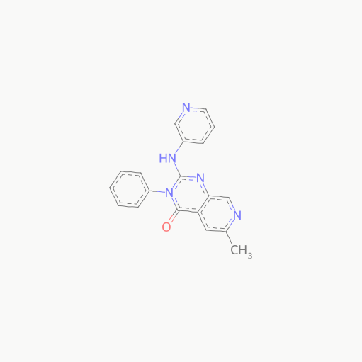 Cc1cc2c(=O)n(-c3ccccc3)c(Nc3cccnc3)nc2cn1